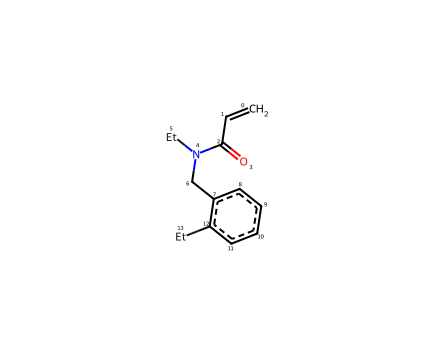 C=CC(=O)N(CC)Cc1ccccc1CC